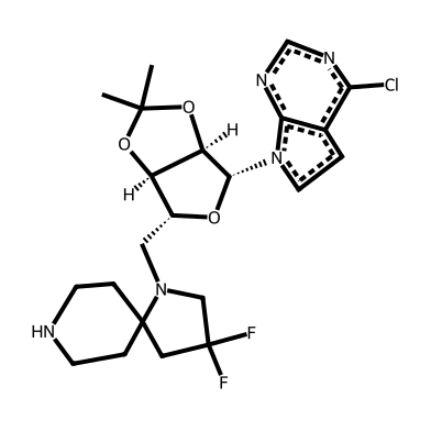 CC1(C)O[C@@H]2[C@H](O1)[C@@H](CN1CC(F)(F)CC13CCNCC3)O[C@H]2n1ccc2c(Cl)ncnc21